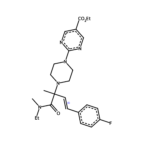 CCOC(=O)c1cnc(N2CCN(C(C)(/C=C/c3ccc(F)cc3)C(=O)N(C)CC)CC2)nc1